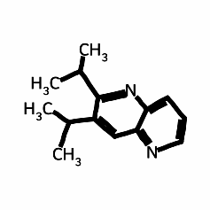 CC(C)c1cc2ncccc2nc1C(C)C